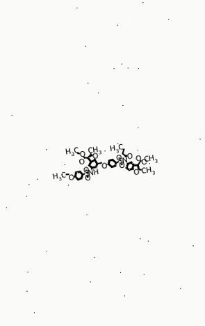 CCCC(=O)N(c1ccc2oc(C)c(C(=O)OC)c2c1)S(=O)(=O)c1ccc(OCc2cc(NS(=O)(=O)c3ccc(OCC)cc3)cc3c(C(=O)OCC)c(C)oc23)cc1